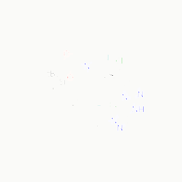 CC(C)(C)[Si](OC1COCC1N1CC[C@H](c2cc3nc(Nc4cnn(C5CC5(F)F)c4Cl)ncc3cc2Cl)[C@@H](F)C1)(c1ccccc1)c1ccccc1